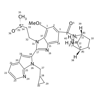 COc1cc(C(=O)N2C[C@H]3CC[C@@H]2[C@@H]3N)cc2nc(-c3cc4cccnc4n3CC3CC3)n(CC[S@@+](C)[O-])c12